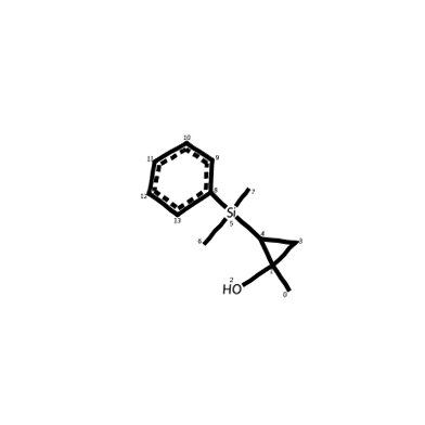 CC1(O)CC1[Si](C)(C)c1ccccc1